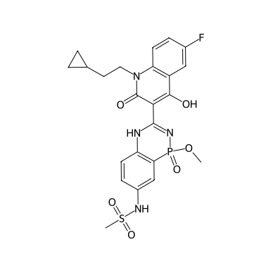 COP1(=O)N=C(c2c(O)c3cc(F)ccc3n(CCC3CC3)c2=O)Nc2ccc(NS(C)(=O)=O)cc21